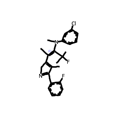 CC1=C(/C(C)=C(/N(C)c2cccc(Cl)c2)C(C)(C)F)CN=C1c1ccccc1F